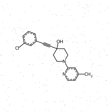 Cc1ccnc(N2CCC(O)(C#Cc3cccc(Cl)c3)CC2)c1